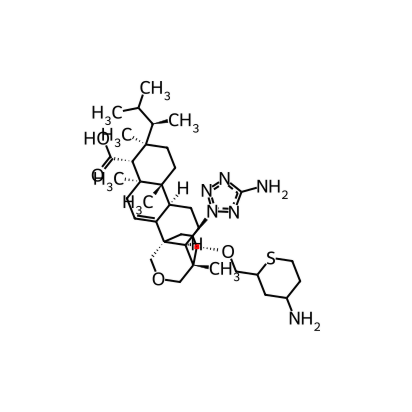 CC(C)[C@@H](C)[C@@]1(C)CC[C@]2(C)[C@H]3CC[C@@H]4[C@@]5(COC[C@@]4(C)[C@@H](OCC4CC(N)CCS4)[C@H](n4nnc(N)n4)C5)C3=CC[C@@]2(C)[C@@H]1C(=O)O